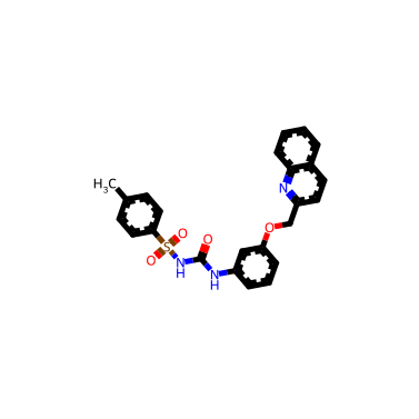 Cc1ccc(S(=O)(=O)NC(=O)Nc2cccc(OCc3ccc4ccccc4n3)c2)cc1